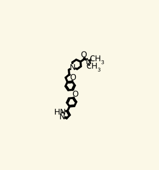 CN(C)C(=O)C1CCN(CC2Cc3ccc(Oc4ccc(-c5ccn[nH]5)cc4)cc3O2)CC1